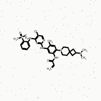 C=CC(=O)Nc1cc(Nc2ncc(Cl)c(Nc3ccccc3P(C)(C)=O)n2)c(C)cc1N1CCC2(CC1)CC(N(C)C)C2